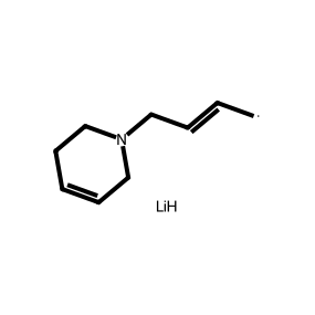 [CH2]/C=C/CN1CC=CCC1.[LiH]